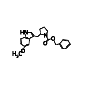 COc1ccc2[nH]cc(CC3CCCN3C(=O)OCc3ccccc3)c2c1